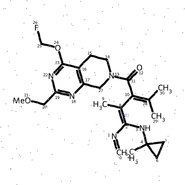 C=N/C(NC1(C)CC1)=C(\C)C(C(=O)N1CCc2c(nc(COC)nc2OCF)C1)=C(C)C